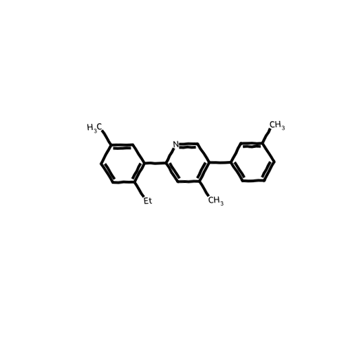 CCc1ccc(C)cc1-c1cc(C)c(-c2cccc(C)c2)cn1